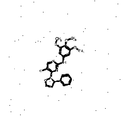 COc1cc(Nc2ncc(Cl)c(N3OCCC3c3ccccc3)n2)cc(OC)c1OC